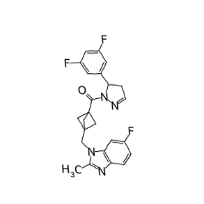 Cc1nc2ccc(F)cc2n1CC12CC(C(=O)N3N=CCC3c3cc(F)cc(F)c3)(C1)C2